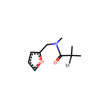 CCC(C)(C)C(=O)N(C)Cc1ccco1